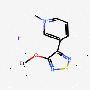 CCOc1nsnc1-c1ccc[n+](C)c1.[I-]